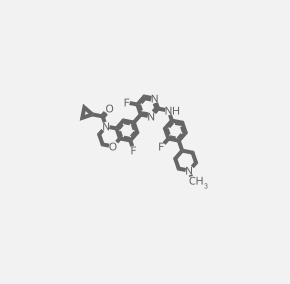 CN1CCC(c2ccc(Nc3ncc(F)c(-c4cc(F)c5c(c4)N(C(=O)C4CC4)CCO5)n3)cc2F)CC1